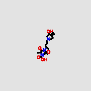 C[C@H]1C(=O)N2[C@@H](CCCN3CCC4(CC4)C(O)C3)CO[C@]2(C)CN1C(=O)O